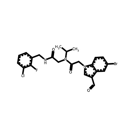 CC(C)N(CC(=O)NCc1cccc(Cl)c1F)C(=O)Cn1cc(C=O)c2cc(Br)ccc21